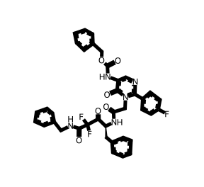 O=C(Cn1c(-c2ccc(F)cc2)ncc(NC(=O)OCc2ccccc2)c1=O)N[C@@H](Cc1ccccc1)C(=O)C(F)(F)C(=O)NCc1ccccc1